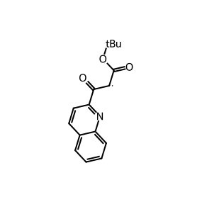 CC(C)(C)OC(=O)[CH]C(=O)c1ccc2ccccc2n1